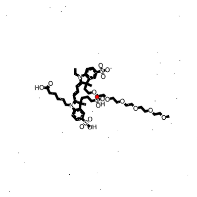 CCN1/C(=C/C=C/C2=[N+](CCCCCC(=O)O)c3ccc(S(=O)(=O)O)cc3C2(C)CCCS(=O)(=O)O)C(C)(CCOCCOCCOCCOCCOCCOC)c2cc(S(=O)(=O)[O-])ccc21